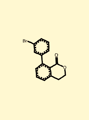 O=C1OCCc2cccc(-c3cccc(Br)c3)c21